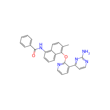 Cc1ccc2c(NC(=O)c3ccccc3)cccc2c1Oc1ncccc1-c1ccnc(N)n1